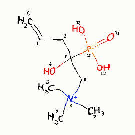 C=CCC(O)(C[N+](C)(C)C)P(=O)(O)O